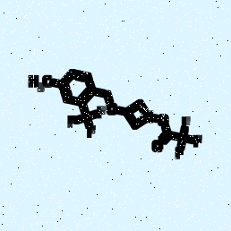 Cc1ccc(COC2CN(OC(=O)C(F)(F)F)C2)c(C(F)(F)F)c1